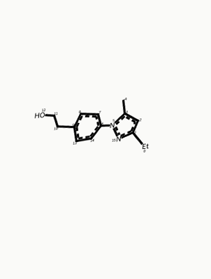 CCc1cc(C)n(-c2ccc(CCO)cc2)n1